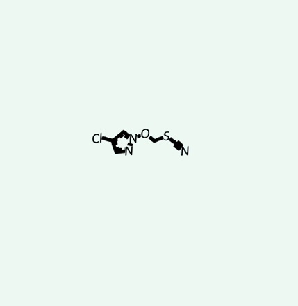 N#CSCOn1cc(Cl)cn1